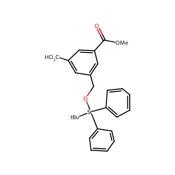 COC(=O)c1cc(CO[Si](c2ccccc2)(c2ccccc2)C(C)(C)C)cc(C(=O)O)c1